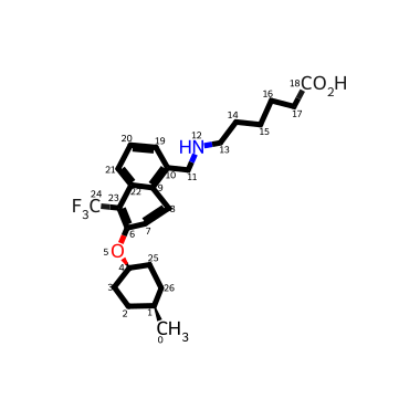 C[C@H]1CC[C@@H](Oc2ccc3c(CNCCCCCC(=O)O)cccc3c2C(F)(F)F)CC1